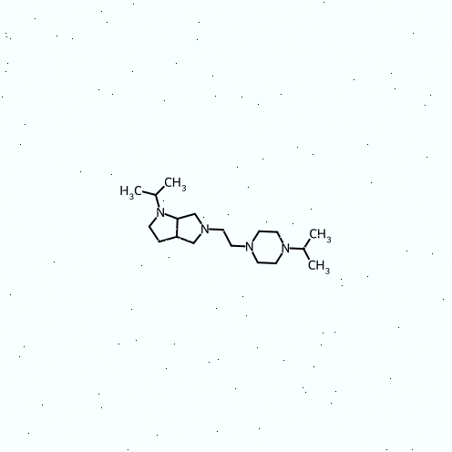 CC(C)N1CCN(CCN2CC3CCN(C(C)C)C3C2)CC1